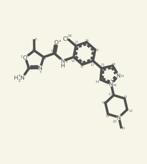 CC1OC(N)=NC1C(=O)Nc1cc(-c2cnn(C3CCN(C)CC3)c2)ccc1Cl